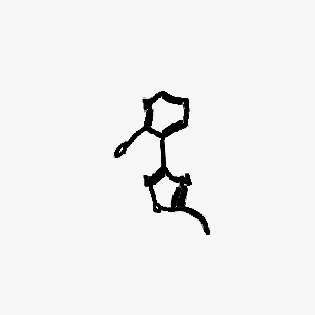 Cc1nc(-c2cccnc2Cl)no1